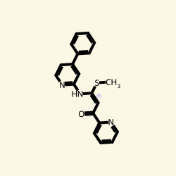 CS/C(=C/C(=O)c1ccccn1)Nc1cc(-c2ccccc2)ccn1